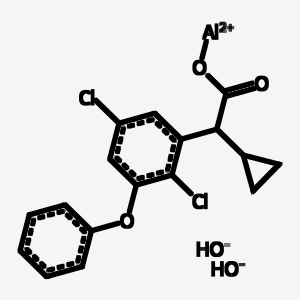 O=C([O][Al+2])C(c1cc(Cl)cc(Oc2ccccc2)c1Cl)C1CC1.[OH-].[OH-]